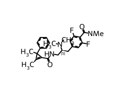 CNC(=O)c1c(F)cc(C[C@@H](CNC(=O)C2=C(C)C2(C)c2ccccc2)N(C)C)cc1F